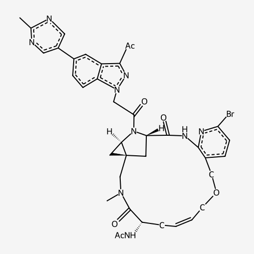 CC(=O)N[C@H]1CC=CCOCc2ccc(Br)nc2NC(=O)[C@@H]2C[C@]3(C[C@H]3N2C(=O)Cn2nc(C(C)=O)c3cc(-c4cnc(C)nc4)ccc32)CN(C)C1=O